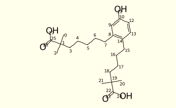 CC(C)(CCCCCc1cc(O)ccc1CCCCC(C)(C)C(=O)O)C(=O)O